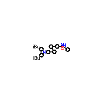 CCC(C)c1ccc2c(c1)c1cc(C(C)CC)ccc1n2-c1ccc(-c2ccccc2-c2ccccc2-c2ccc(-c3nnc(-c4ccccc4)o3)cc2)cc1